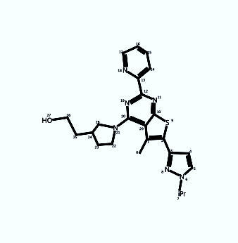 Cc1c(-c2ccn(C(C)C)n2)sc2nc(-c3ccccn3)nc(N3CCC(CCO)C3)c12